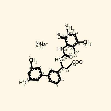 Cc1cc(C)cc(-c2cccc([C@H](CC(=O)[O-])NC(=O)Nc3c([O-])c(C)cn(C)c3=O)c2)c1.[Na+].[Na+]